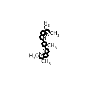 Cc1cc(C)c2ccc3ccc(-c4ccc(-c5ccc6ccc7c(C)cc(C)nc7c6n5)c(C)c4)nc3c2n1